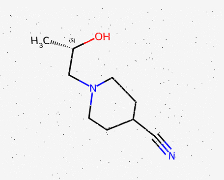 C[C@H](O)CN1CCC(C#N)CC1